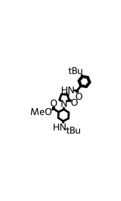 COC(=O)C1CC(NC(C)(C)C)CCC1N1CC[C@H](NC(=O)c2cccc(C(C)(C)C)c2)C1=O